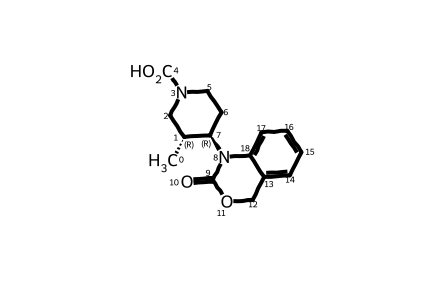 C[C@@H]1CN(C(=O)O)CC[C@H]1N1C(=O)OCc2ccccc21